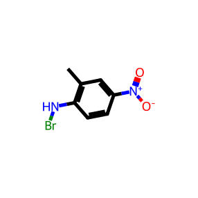 Cc1cc([N+](=O)[O-])ccc1NBr